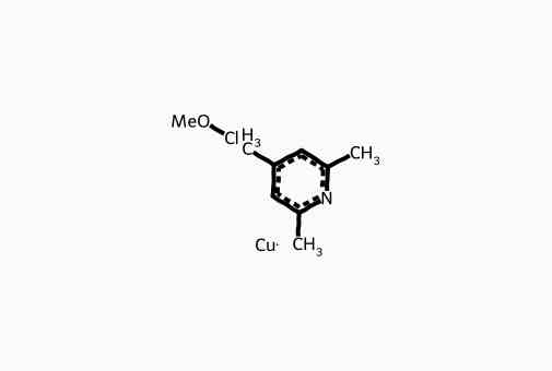 COCl.Cc1cc(C)nc(C)c1.[Cu]